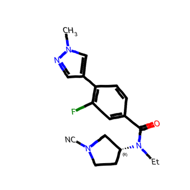 CCN(C(=O)c1ccc(-c2cnn(C)c2)c(F)c1)[C@@H]1CCN(C#N)C1